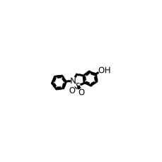 O=S1(=O)c2ccc(O)cc2CN1c1ccccc1